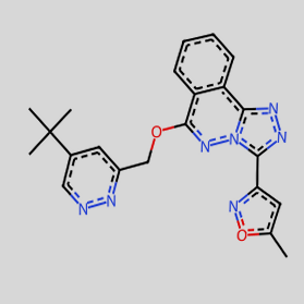 Cc1cc(-c2nnc3c4ccccc4c(OCc4cc(C(C)(C)C)cnn4)nn23)no1